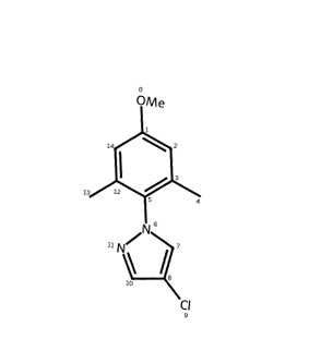 COc1cc(C)c(-n2cc(Cl)cn2)c(C)c1